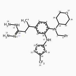 CC(C)CN(c1ccc(C(C)C/C(=N/N)NN)cc1Nc1nc(C(F)(F)F)ns1)C1CCOCC1